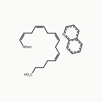 CCCCC/C=C\C/C=C\C/C=C\C/C=C\CCCC(=O)O.c1ccc2ncccc2c1